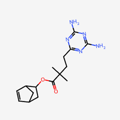 CC(C)(CCc1nc(N)nc(N)n1)C(=O)OC1CC2C=CC1C2